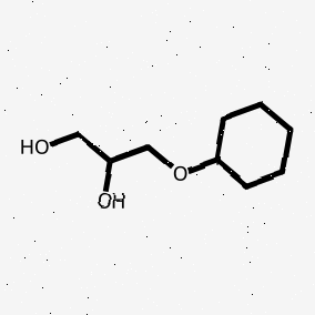 OCC(O)CO[C]1CCCCC1